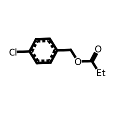 CCC(=O)OCc1ccc(Cl)cc1